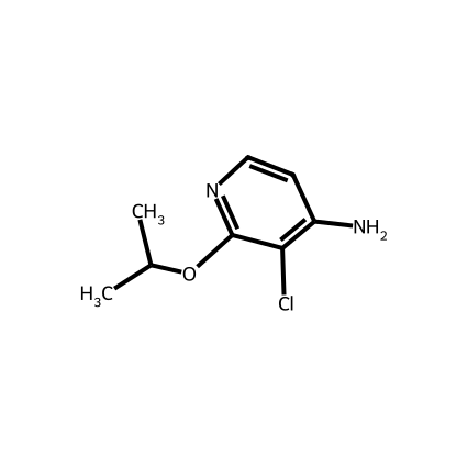 CC(C)Oc1nccc(N)c1Cl